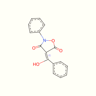 O=C1ON(c2ccccc2)C(=O)/C1=C(\O)c1ccccc1